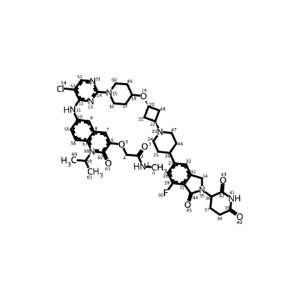 CNC(=O)COc1cc2cc(Nc3nc(N4CCC(O[C@H]5C[C@H](N6CCC(c7cc(F)c8c(c7)CN(C7CCC(=O)NC7=O)C8=O)CC6)C5)CC4)ncc3Cl)ccc2n(C(C)C)c1=O